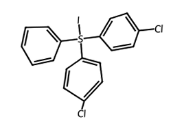 Clc1ccc(S(I)(c2ccccc2)c2ccc(Cl)cc2)cc1